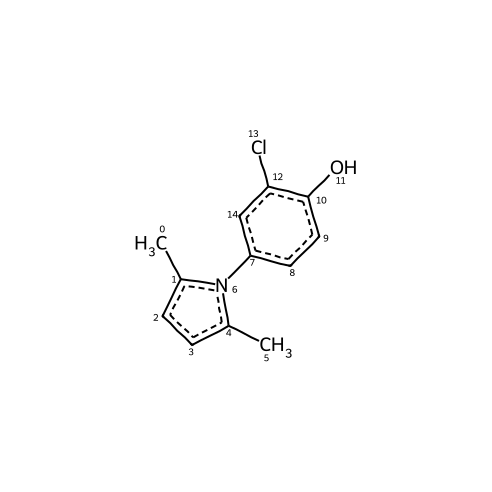 Cc1ccc(C)n1-c1ccc(O)c(Cl)c1